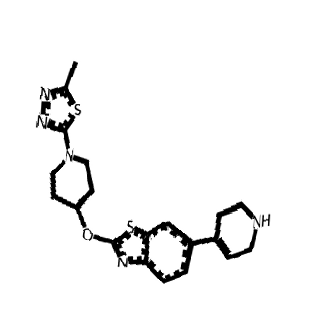 Cc1nnc(N2CCC(Oc3nc4ccc(C5=CCNCC5)cc4s3)CC2)s1